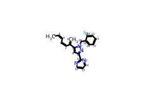 C=C(/C=C\C=C/C)c1cc(-c2ncccn2)nn1Cc1ccccc1F